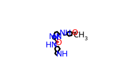 COc1ccc(CNc2ccc3ncc(C(=O)Nc4ccc5[nH]ccc5c4)n3n2)cc1